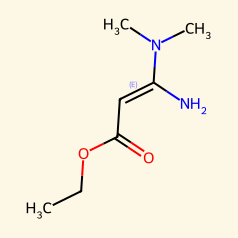 CCOC(=O)/C=C(\N)N(C)C